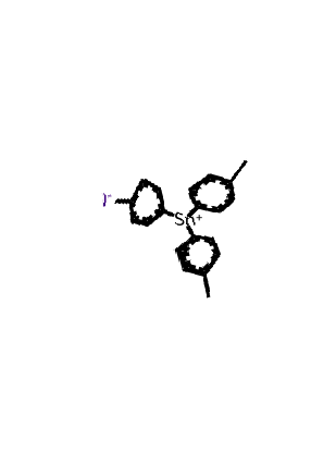 Cc1cc[c]([Sn+]([c]2ccc(C)cc2)[c]2ccc(C)cc2)cc1.[I-]